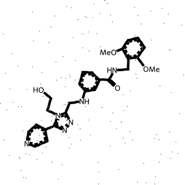 COc1cccc(OC)c1CNC(=O)c1cccc(NCc2nnc(-c3ccncc3)n2CCO)c1